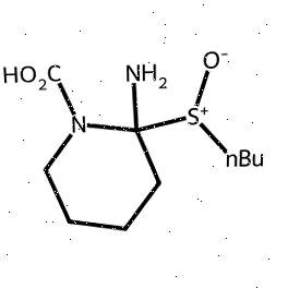 CCCC[S+]([O-])C1(N)CCCCN1C(=O)O